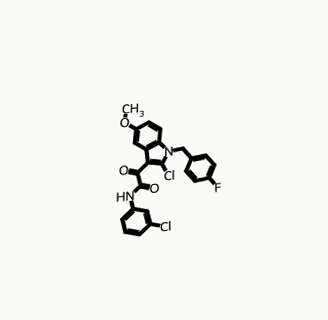 COc1ccc2c(c1)c(C(=O)C(=O)Nc1cccc(Cl)c1)c(Cl)n2Cc1ccc(F)cc1